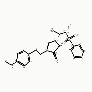 COc1ccc(CCN2C[C@H](C(O)[C@H](F)S(=O)(=O)c3ccccc3)CC2=O)cc1